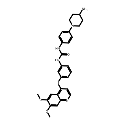 COc1cc2nccc(Oc3cccc(NC(=O)Nc4ccc(N5CCC(N)CC5)cc4)c3)c2cc1OC